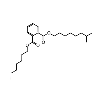 CCCCCCCOC(=O)c1ccccc1C(=O)OCCCCCCC(C)C